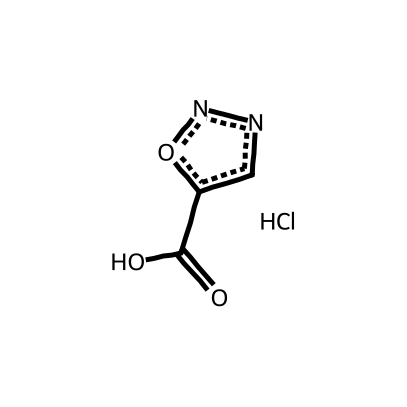 Cl.O=C(O)c1cnno1